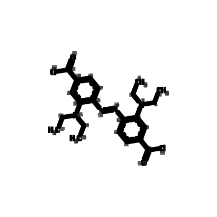 CCN(CC)c1cc(C(=O)Cl)ccc1N=Nc1ccc(C(=O)Cl)cc1N(CC)CC